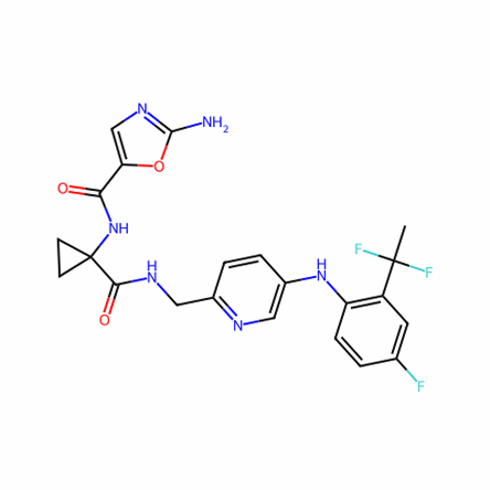 CC(F)(F)c1cc(F)ccc1Nc1ccc(CNC(=O)C2(NC(=O)c3cnc(N)o3)CC2)nc1